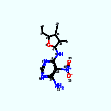 CCC1OC(Nc2ncnc(N)c2[N+](=O)[O-])C(C)C1C